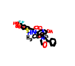 CC(C)(C)C(NC(=O)c1cc2cc(C(F)(F)P(=O)(O)O)ccc2s1)C(=O)N1C[C@H](O)C[C@H]1C(=O)N1CCOC(c2ccccc2)C1